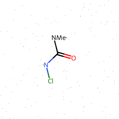 C[N]C(=O)[N]Cl